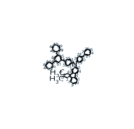 CCCC1(CCC)c2ccccc2-c2ccc(N(c3ccc(-c4ccccc4)cc3)c3ccc(-c4cc(C5CCCCC5)cc(C5CCCCC5)c4)cc3)cc21